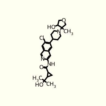 CC(C)(O)C1CC1C(=O)Nc1cc2cc(C3CCN(C4(C)COCC4O)CC3)c(Cl)cc2cn1